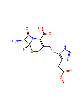 COC(=O)Cc1nn[nH]c1SCC1=C(C(=O)O)N2C(=O)C(N)[C@H]2SC1